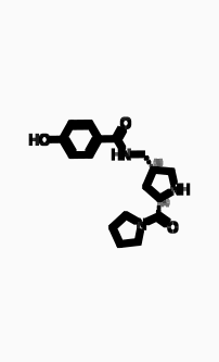 O=C(NC[C@@H]1CN[C@H](C(=O)N2CCCC2)C1)c1ccc(O)cc1